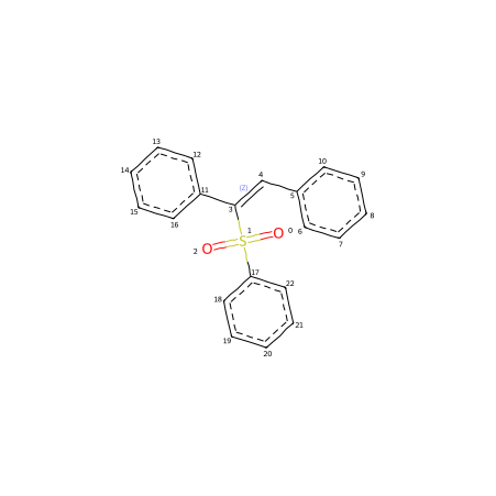 O=S(=O)(/C(=C\c1ccccc1)c1ccccc1)c1ccccc1